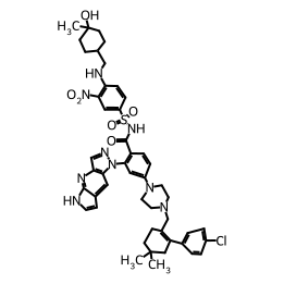 CC1(C)CCC(CN2CCN(c3ccc(C(=O)NS(=O)(=O)c4ccc(NCC5CCC(C)(O)CC5)c([N+](=O)[O-])c4)c(-n4ncc5nc6[nH]ccc6cc54)c3)CC2)=C(c2ccc(Cl)cc2)C1